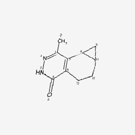 Cc1n[nH]c(=O)c2c1C1CC1CC2